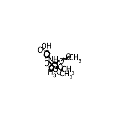 COCCOCC(=CC1(C(=O)N[C@H]2CC[C@@H](C(=O)O)CC2)CCCC1)C(=O)OC(C)(C)C